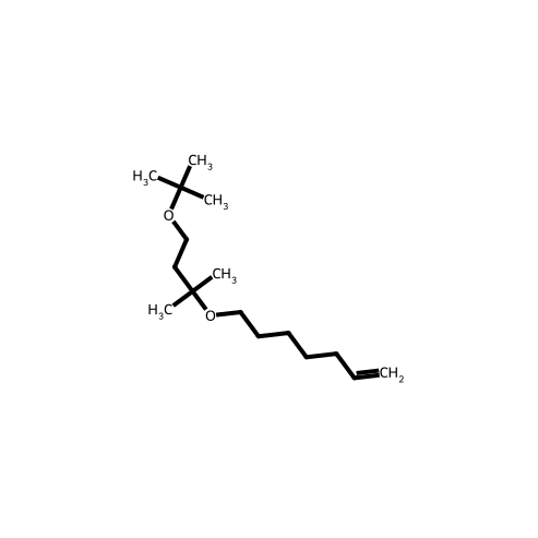 C=CCCCCCOC(C)(C)CCOC(C)(C)C